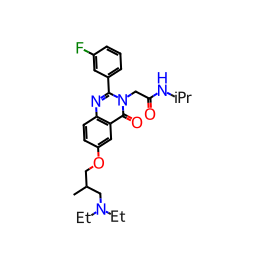 CCN(CC)CC(C)COc1ccc2nc(-c3cccc(F)c3)n(CC(=O)NC(C)C)c(=O)c2c1